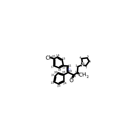 C=C(CN1CCCC1)C(=O)/C(=C/c1ccc(Cl)cc1)c1ccccc1